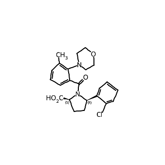 Cc1cccc(C(=O)N2[C@@H](c3ccccc3Cl)CC[C@H]2C(=O)O)c1N1CCOCC1